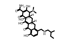 CCC(C)CNCc1ccc(O)c2c1C[C@H]1C[C@H]3C(N(C)C)C(O)=C(C(N)=O)C(=O)[C@@]3(O)C(O)=C1C2=O